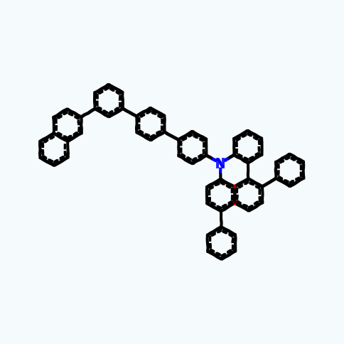 c1ccc(-c2ccc(N(c3ccc(-c4ccc(-c5cccc(-c6ccc7ccccc7c6)c5)cc4)cc3)c3ccccc3-c3ccccc3-c3ccccc3)cc2)cc1